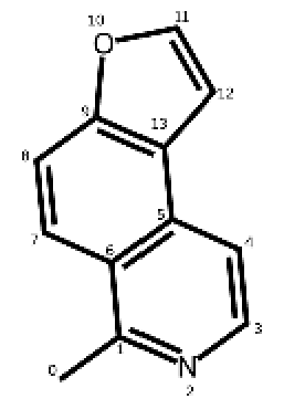 Cc1nccc2c1ccc1occc12